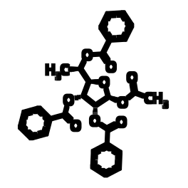 CC(=O)O[C@@H]1O[C@H]([C@@H](C)OC(=O)c2ccccc2)[C@@H](OC(=O)c2ccccc2)[C@H]1OC(=O)c1ccccc1